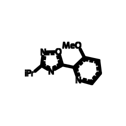 COc1cccnc1-c1nc(C(C)C)no1